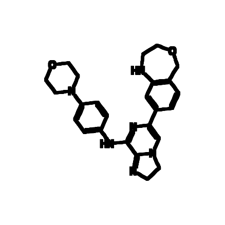 C1=C(c2ccc3c(c2)NCCOC3)N=C(Nc2ccc(N3CCOCC3)cc2)C2=NCCN12